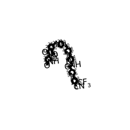 N#Cc1ccc(N2CCC(C(=O)Nc3ccc(N4CCC(CN5CCN(Cc6ccc7c(c6)C(=O)N(C6CCC(=O)NC6=O)C7=O)CC5)CC4)cn3)CC2)cc1C(F)(F)F